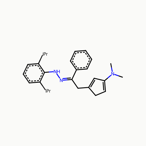 CC(C)c1cccc(C(C)C)c1NN=C(CC1=CC(N(C)C)=CC1)c1ccccc1